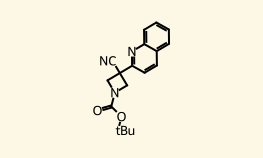 CC(C)(C)OC(=O)N1CC(C#N)(c2ccc3ccccc3n2)C1